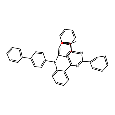 Cc1ccc(N(c2ccc(-c3ccccc3)cc2)c2ccccc2-c2nc(-c3ccccc3)nc(-c3ccccc3)n2)cc1